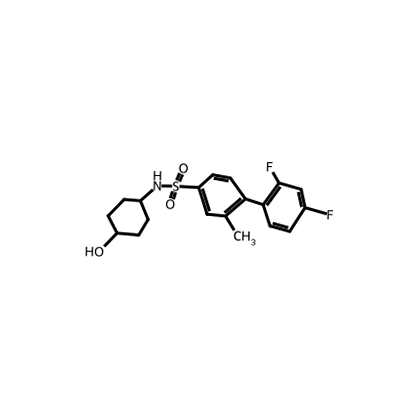 Cc1cc(S(=O)(=O)NC2CCC(O)CC2)ccc1-c1ccc(F)cc1F